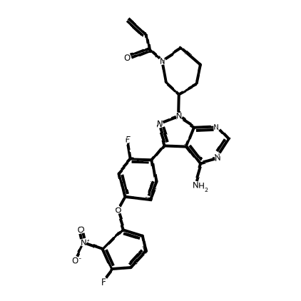 C=CC(=O)N1CCCC(n2nc(-c3ccc(Oc4cccc(F)c4[N+](=O)[O-])cc3F)c3c(N)ncnc32)C1